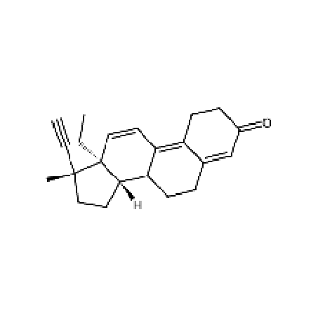 C#C[C@@]1(C)CC[C@H]2C3CCC4=CC(=O)CCC4=C3C=C[C@@]21CC